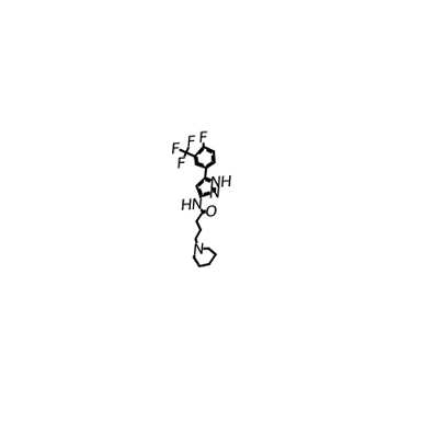 O=C(CCCN1CCCCC1)Nc1cc(-c2ccc(F)c(C(F)(F)F)c2)[nH]n1